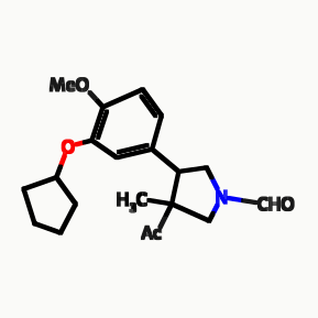 COc1ccc(C2CN(C=O)CC2(C)C(C)=O)cc1OC1CCCC1